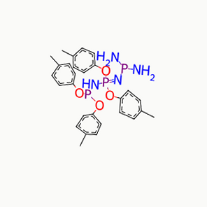 Cc1ccc(OP(NP(=NP(N)N)(Oc2ccc(C)cc2)Oc2ccc(C)cc2)Oc2ccc(C)cc2)cc1